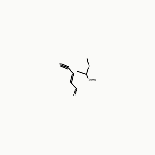 COC(C)OC.N#C/C=C/C=O